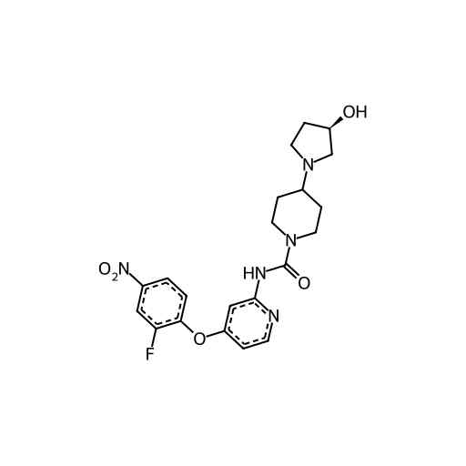 O=C(Nc1cc(Oc2ccc([N+](=O)[O-])cc2F)ccn1)N1CCC(N2CC[C@@H](O)C2)CC1